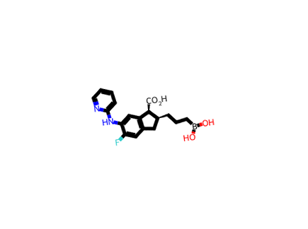 O=C(O)[C@@H]1c2cc(Nc3ccccn3)c(F)cc2C[C@@H]1CCCB(O)O